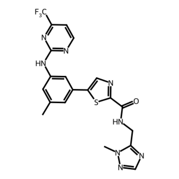 Cc1cc(Nc2nccc(C(F)(F)F)n2)cc(-c2cnc(C(=O)NCc3ncnn3C)s2)c1